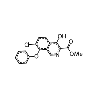 COC(=O)c1ncc2c(Oc3ccccc3)c(Cl)ccc2c1O